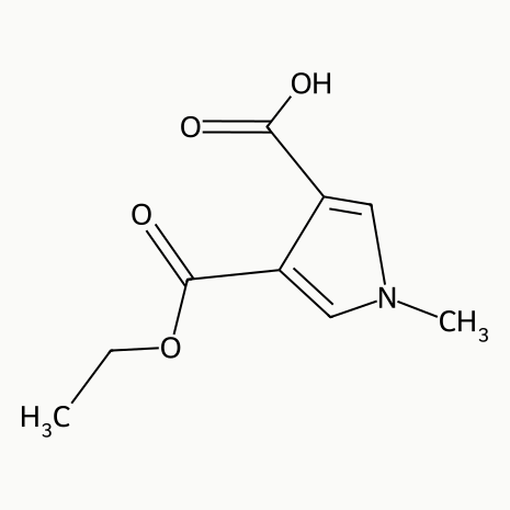 CCOC(=O)c1cn(C)cc1C(=O)O